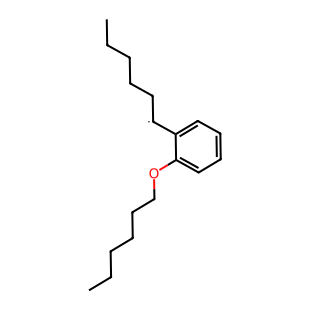 CCCCC[CH]c1ccccc1OCCCCCC